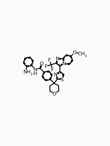 COc1ccn2c(-c3csc(C4(c5ccc(C(=O)Nc6ccccc6N)cc5)CCOCC4)n3)c(C(F)(F)F)nc2c1